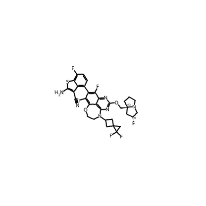 N#Cc1c(N)sc2c(F)ccc(-c3c(Cl)c4c5c(nc(OC[C@@]67CCCN6C[C@H](F)C7)nc5c3F)N(C3CC5(C3)CC5(F)F)CCO4)c12